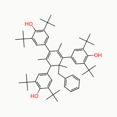 CC1=C(c2cc(C(C)(C)C)c(O)c(C(C)(C)C)c2)C(C)(Cc2ccccc2)C(c2cc(C(C)(C)C)c(O)c(C(C)(C)C)c2)C(C)=C1c1cc(C(C)(C)C)c(O)c(C(C)(C)C)c1